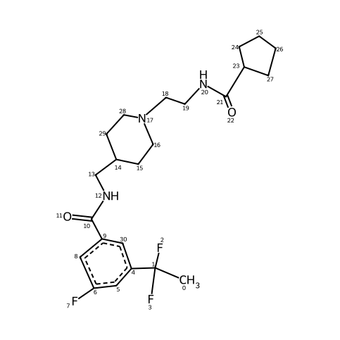 CC(F)(F)c1cc(F)cc(C(=O)NCC2CCN(CCNC(=O)C3CCCC3)CC2)c1